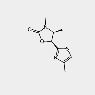 Cc1csc([C@H]2OC(=O)N(C)[C@H]2C)n1